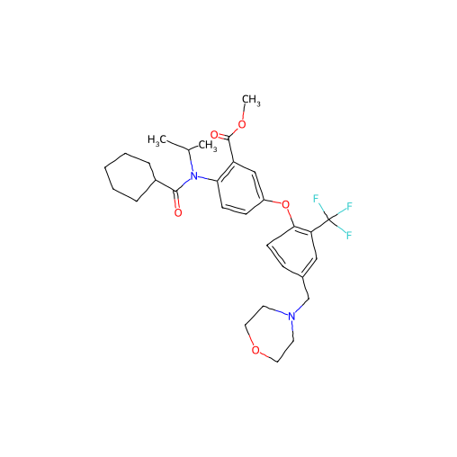 COC(=O)c1cc(Oc2ccc(CN3CCOCC3)cc2C(F)(F)F)ccc1N(C(=O)C1CCCCC1)C(C)C